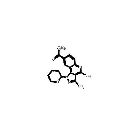 COC(=O)c1ccc2nc(O)c3c(C)nn(C4CCCCO4)c3c2c1